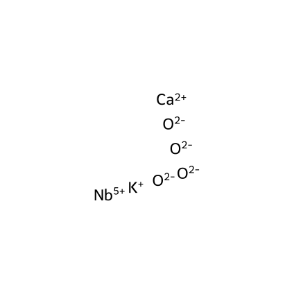 [Ca+2].[K+].[Nb+5].[O-2].[O-2].[O-2].[O-2]